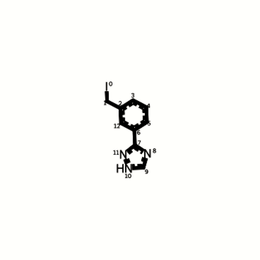 ICc1cccc(-c2nc[nH]n2)c1